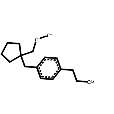 [CH2+][CH-]CC1(Cc2ccc(CCO)cc2)CCCC1